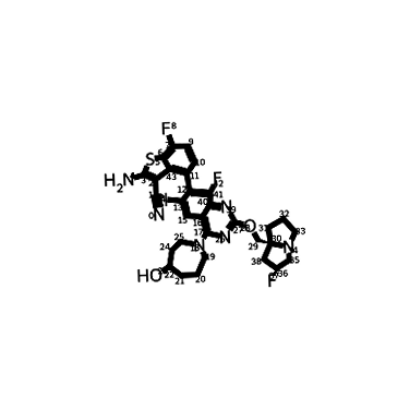 N#Cc1c(N)sc2c(F)ccc(-c3c(Cl)cc4c(N5CCCC(O)CC5)nc(OC[C@@]56CCCN5C[C@H](F)C6)nc4c3F)c12